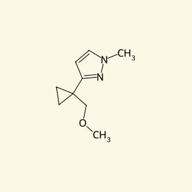 COCC1(c2ccn(C)n2)CC1